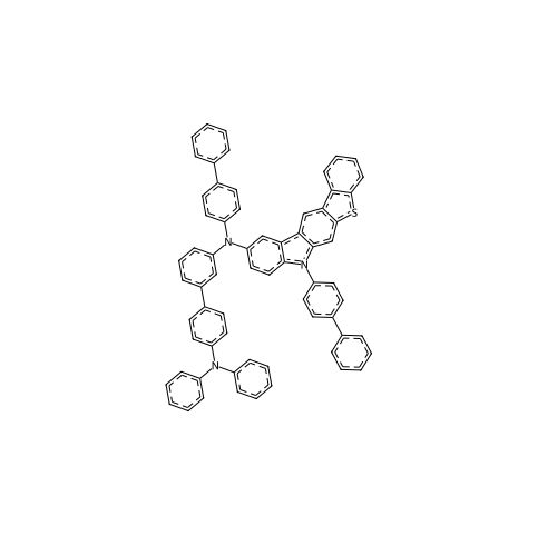 c1ccc(-c2ccc(N(c3cccc(-c4ccc(N(c5ccccc5)c5ccccc5)cc4)c3)c3ccc4c(c3)c3cc5c(cc3n4-c3ccc(-c4ccccc4)cc3)sc3ccccc35)cc2)cc1